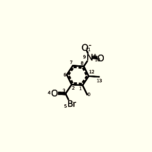 Cc1c(C(=O)Br)ccc([N+](=O)[O-])c1C